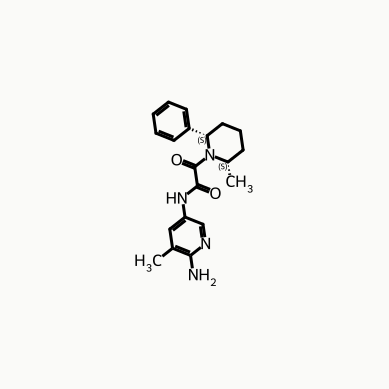 Cc1cc(NC(=O)C(=O)N2[C@@H](C)CCC[C@H]2c2ccccc2)cnc1N